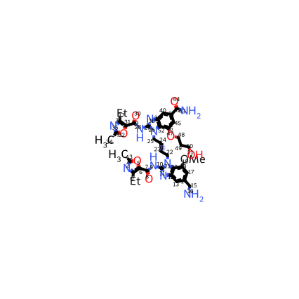 CCc1nc(C)oc1C(=O)Nc1nc2cc(CN)cc(OC)c2n1C/C=C/Cn1c(NC(=O)c2oc(C)nc2CC)nc2cc(C(N)=O)cc(OCCCO)c21